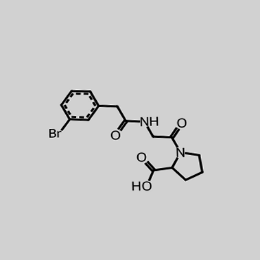 O=C(Cc1cccc(Br)c1)NCC(=O)N1CCCC1C(=O)O